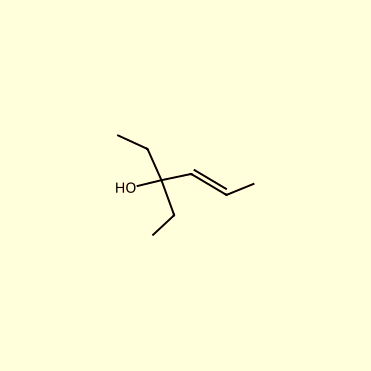 C/C=C/C(O)(CC)CC